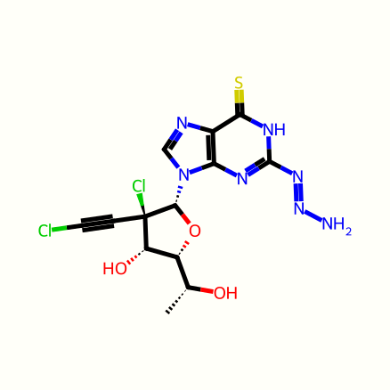 C[C@@H](O)[C@H]1O[C@@H](n2cnc3c(=S)[nH]c(N=NN)nc32)[C@@](Cl)(C#CCl)[C@H]1O